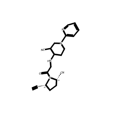 C#C[C@H]1CC[C@@H](C#N)N1C(=O)CNC1CCN(c2ccccn2)CC1C#N